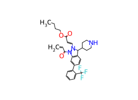 C=CC(=O)N1c2cc(-c3ccccc3C(F)(F)F)ccc2C(C2CCNCC2)N1C=CC(=O)OCCCC